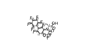 C[C@@H](C(=O)O)N1C(=O)C(F)(F)Oc2cc(F)c(-c3c(F)c(F)c(F)c(F)c3F)c(F)c21